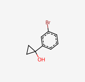 OC1(c2cccc(Br)c2)CC1